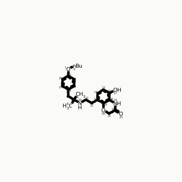 CCCCOc1ccc(CC(C)(C)N[CH][CH]c2ccc(O)c3c2OCC(=O)N3)cc1